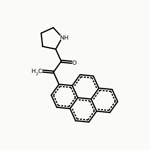 C=C(C(=O)C1CCCN1)c1ccc2ccc3cccc4ccc1c2c34